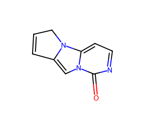 O=c1nccc2n3c(cn12)C=CC3